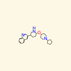 c1ccc2ncc(C3CCC(OC4CCN(C5CCCC5)CC4)NC3)cc2c1